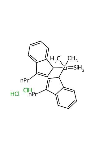 CCCC1=C[CH]([Zr]([CH3])([CH3])(=[SiH2])[CH]2C=C(CCC)c3ccccc32)c2ccccc21.Cl.Cl